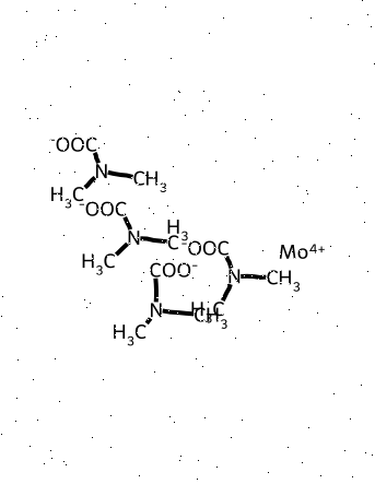 CN(C)C(=O)[O-].CN(C)C(=O)[O-].CN(C)C(=O)[O-].CN(C)C(=O)[O-].[Mo+4]